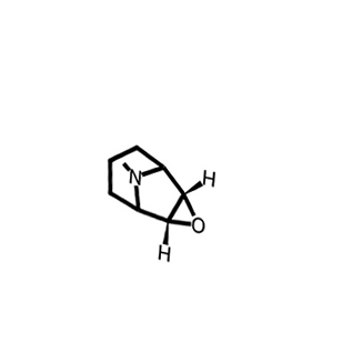 CN1C2CCCC1[C@@H]1O[C@H]21